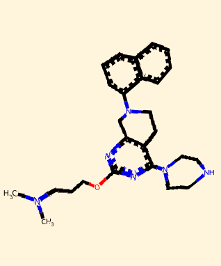 CN(C)CCCOc1nc2c(c(N3CCNCC3)n1)CCN(c1cccc3ccccc13)C2